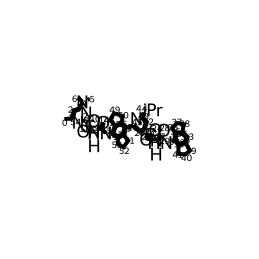 Cc1cc(N(C)C)nc(S(=O)(=O)NC(=O)Nc2c3c(c(-c4cc(S(=O)(=O)NC(=O)Nc5c6c(cc7c5CCC7)CCC6)cc(C(C)C)n4)c4c2CCC4)CCC3)n1